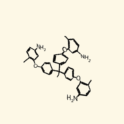 Cc1ccc(N)cc1Oc1ccc(C(C)(c2ccc(Oc3cc(N)ccc3C)cc2)c2ccc(Oc3cc(N)ccc3C)cc2)cc1